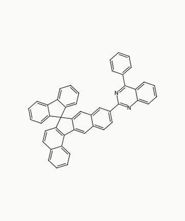 c1ccc(-c2nc(-c3ccc4cc5c(cc4c3)C3(c4ccccc4-c4ccccc43)c3ccc4ccccc4c3-5)nc3ccccc23)cc1